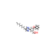 CCCCCCCCc1cnc(C(CCCO)CCOc2ccccc2)nc1